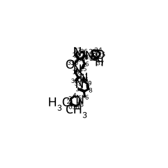 CC1(C)CCN(Cc2ccc3nc(Cn4ccc5c(N6C[C@@H]7CC6CO7)cncc5c4=O)cn3c2)CC1